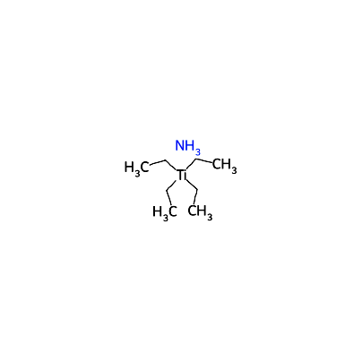 C[CH2][Ti]([CH2]C)([CH2]C)[CH2]C.N